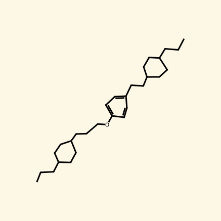 CCCC1CCC(CCCOc2ccc(CCC3CCC(CCC)CC3)cc2)CC1